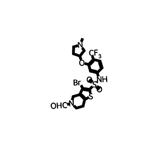 CN1CCC(Oc2cc(NS(=O)(=O)c3sc4c(c3Br)CN(C=O)CC4)ccc2C(F)(F)F)C1